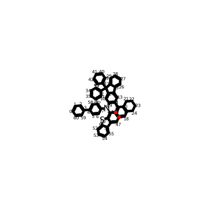 c1ccc(-c2ccc(N(c3cc4c(cc3-c3cccc5c3CCCC5)-c3ccccc3C4(c3ccccc3)c3ccccc3)c3cccc4c3sc3ccccc34)cc2)cc1